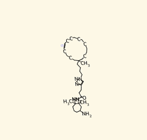 CC1(CCCCn2cc(CCC(=O)NC3(C)CC(N)CCCC3(C)N)nn2)CCCC/C=C\CCCCCCCCCC1